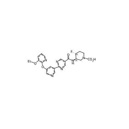 CCOc1cccnc1Oc1cncc(-c2ncc(C(=O)N[C@@H]3CN(C(=O)O)CC[C@H]3F)cn2)c1